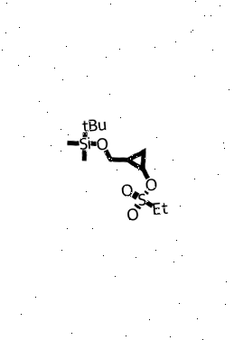 CCS(=O)(=O)OC1CC1CO[Si](C)(C)C(C)(C)C